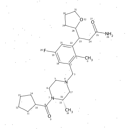 Cc1c(CN2CCN(C(=O)C3CCCC3)[C@@H](C)C2)cc(F)cc1C(CC(N)=O)C1CCCO1